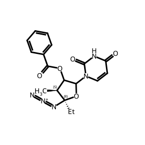 CC[C@@]1(N=[N+]=[N-])OC(n2ccc(=O)[nH]c2=O)C(OC(=O)c2ccccc2)[C@@H]1C